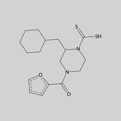 O=C(c1ccco1)N1CCN(C(=S)S)C(CC2CCCCC2)C1